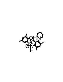 Cc1cc(C)c(O)c(S(=O)(=O)Nc2c(C)cc(C)c(N3CCCCC3)c2C)c1